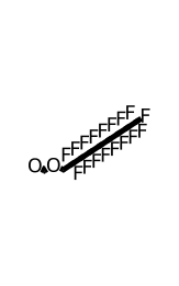 O=COCC(F)(F)C(F)(F)C(F)(F)C(F)(F)C(F)(F)C(F)(F)C(F)(F)C(F)(F)F